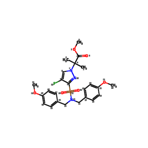 COC(=O)C(C)(C)n1cc(F)c(S(=O)(=O)N(Cc2ccc(OC)cc2)Cc2ccc(OC)cc2)n1